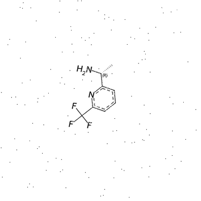 C[C@@H](N)c1cccc(C(F)(F)F)n1